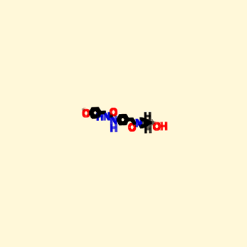 COc1ccc(CNC(=O)Nc2ccc(CC(=O)N3C[C@@H]4[C@H](CO)[C@@H]4C3)cc2)cc1